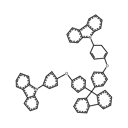 C1=CC(n2c3ccccc3c3ccccc32)CC=C1Oc1ccc(C2(c3ccc(Oc4ccc(-n5c6ccccc6c6ccccc65)cc4)cc3)c3ccccc3-c3ccccc32)cc1